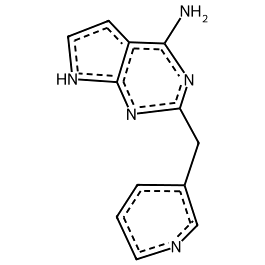 Nc1nc(Cc2cccnc2)nc2[nH]ccc12